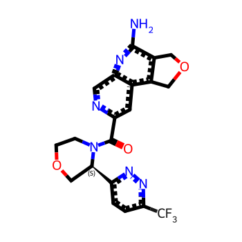 Nc1nc2cnc(C(=O)N3CCOC[C@@H]3c3ccc(C(F)(F)F)nn3)cc2c2c1COC2